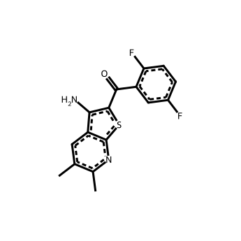 Cc1cc2c(N)c(C(=O)c3cc(F)ccc3F)sc2nc1C